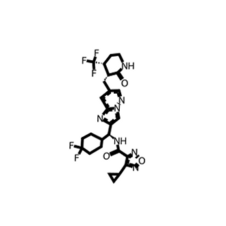 O=C(N[C@H](c1cn2ncc(C[C@H]3C(=O)NCC[C@H]3C(F)(F)F)cc2n1)C1CCC(F)(F)CC1)c1nonc1C1CC1